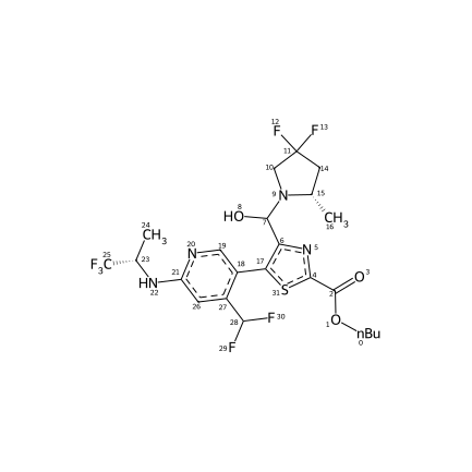 CCCCOC(=O)c1nc(C(O)N2CC(F)(F)C[C@@H]2C)c(-c2cnc(N[C@@H](C)C(F)(F)F)cc2C(F)F)s1